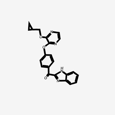 O=C(c1ccc(Oc2nccnc2OCC2CC2)cc1)c1nc2ccccc2[nH]1